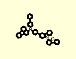 C1=Cc2c(c3c(n2-c2cccc4c2oc2ccccc24)C=CC(c2ccc(N(c4ccc(-c5ccccc5)cc4)c4ccc5c6c(cccc46)-c4ccccc4-5)cc2)C3)CC1